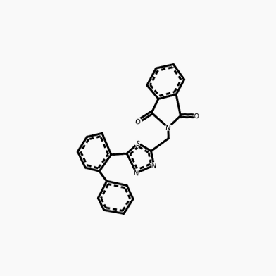 O=C1c2ccccc2C(=O)N1Cc1nnc(-c2ccccc2-c2ccccc2)s1